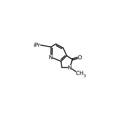 CC(C)c1ccc2c(n1)CN(C)C2=O